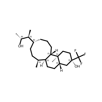 C[C@@H]([C@@H]1CCC[C@H]2[C@@H](CC[C@H]3C[C@](O)(C(F)(F)F)CC[C@@]32C)[C@@H](C)CC1)[C@@H](C)O